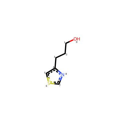 OCCCc1cs[c]n1